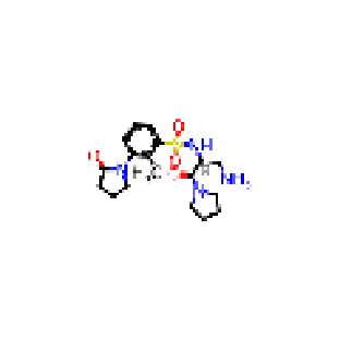 Cc1c(N2CCCC2=O)cccc1S(=O)(=O)N[C@@H](CN)C(=O)N1CCCC1